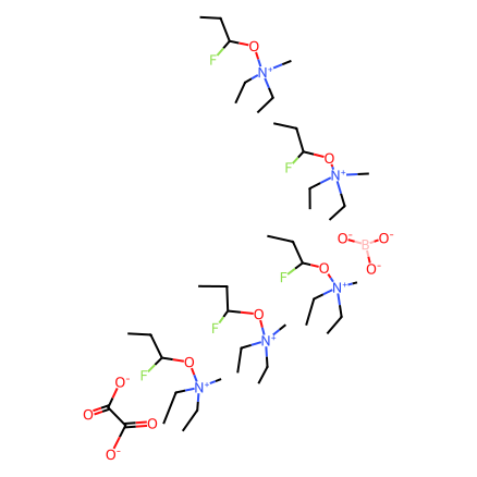 CCC(F)O[N+](C)(CC)CC.CCC(F)O[N+](C)(CC)CC.CCC(F)O[N+](C)(CC)CC.CCC(F)O[N+](C)(CC)CC.CCC(F)O[N+](C)(CC)CC.O=C([O-])C(=O)[O-].[O-]B([O-])[O-]